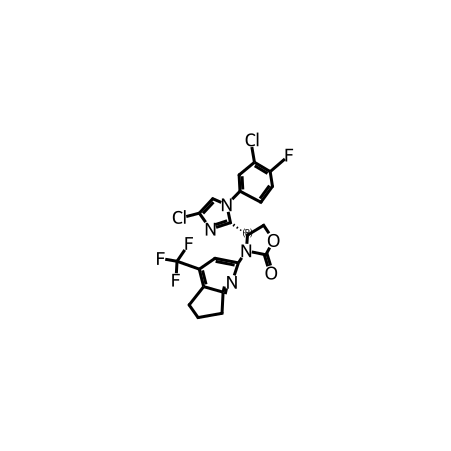 O=C1OC[C@@H](c2nc(Cl)cn2-c2ccc(F)c(Cl)c2)N1c1cc(C(F)(F)F)c2c(n1)CCC2